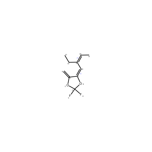 C=C1OC(F)(F)O/C1=C/C(=C\C)CC